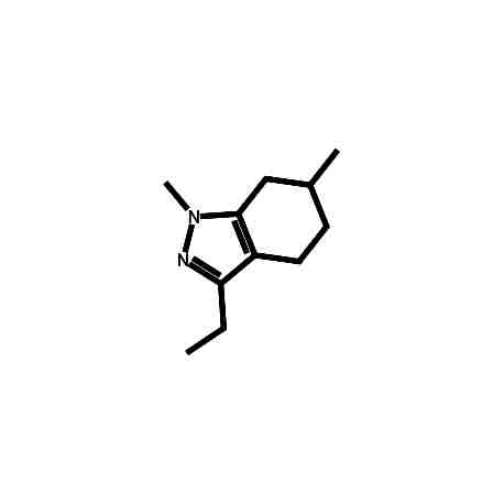 CCc1nn(C)c2c1CCC(C)C2